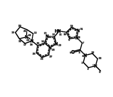 CN1CCN(C(=O)Cn2cc(Nc3nc4c(N5CC6CCC(C5)N6C)cccn4n3)cn2)CC1